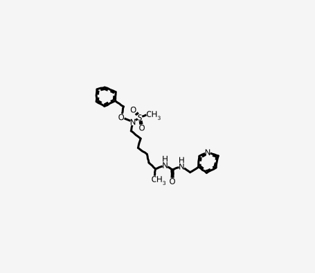 CC(CCCCCN(OCc1ccccc1)S(C)(=O)=O)NC(=O)NCc1cccnc1